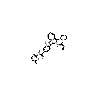 C=CC(=O)N1CCCCC1C1=C2C=NC=C[N+]2(N)C(c2ccc(C(=O)Nc3nccc(C)n3)cc2)=N1